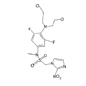 CN(c1cc(F)c(N(CCCl)CCCl)c(F)c1)S(=O)(=O)Cn1ccnc1[N+](=O)[O-]